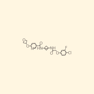 O=C(COc1ccc(Cl)c(F)c1)NC12CC(NC(=O)c3ccc(OC4COC4)nc3)(C1)C2